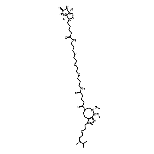 CO[C@H]1CN(C(=O)CCCC(=O)NCCCOCCOCCOCCCNC(=O)CCCC[C@@H]2SC[C@@H]3NC(=O)N[C@@H]32)CCc2c(nnn2CCOCCN(C)C(C)C)[C@@H]1OC